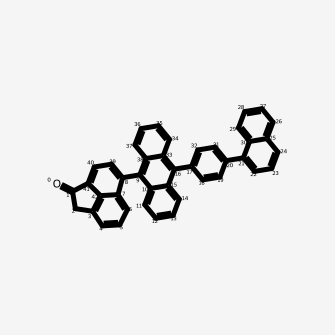 O=C1Cc2cccc3c(-c4c5ccccc5c(-c5ccc(-c6cccc7ccccc67)cc5)c5ccccc45)ccc1c23